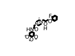 COc1cc(NC(=O)CN2CCN(C[C@H](O)COc3ccccc3F)[C@@H](C)C2)cc(OC)c1OC